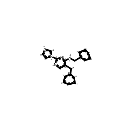 c1ccc(CNc2nc(-n3ccnc3)ncc2Cc2ccccc2)cc1